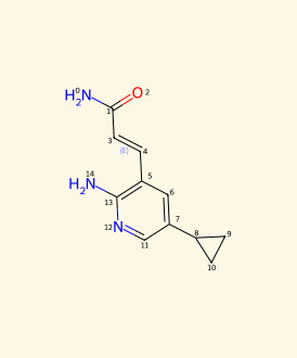 NC(=O)/C=C/c1cc(C2CC2)cnc1N